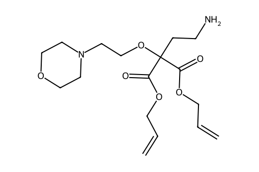 C=CCOC(=O)C(CCN)(OCCN1CCOCC1)C(=O)OCC=C